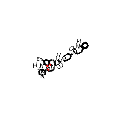 CCc1cc(C[C@@H](NC(=O)N2CCC(N3CCc4ccccc4NC3=O)CC2)C(=O)N2CCN(C3CN4CCC3CC4)CC2)cc(Cl)c1N